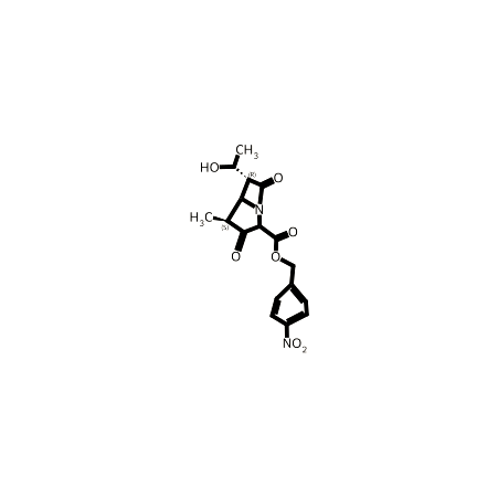 CC(O)[C@@H]1C(=O)N2C(C(=O)OCc3ccc([N+](=O)[O-])cc3)C(=O)[C@@H](C)C12